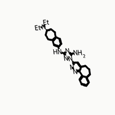 CCN(CC)[C@H]1CCc2ccc(Nc3nc(N)n(-c4cc5c(nn4)-c4ccccc4CCC5)n3)cc2CC1